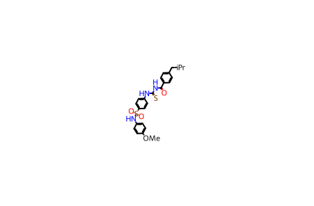 COc1ccc(NS(=O)(=O)c2ccc(NC(=S)NC(=O)c3ccc(CC(C)C)cc3)cc2)cc1